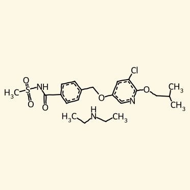 CC(C)COc1ncc(OCc2ccc(C(=O)NS(C)(=O)=O)cc2)cc1Cl.CCNCC